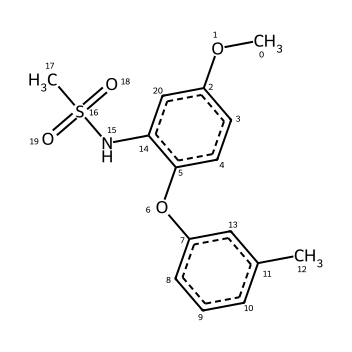 COc1ccc(Oc2cccc(C)c2)c(NS(C)(=O)=O)c1